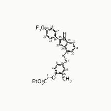 CCOC(=O)COc1ccc(SCc2cccc3[nH]c(-c4ccc(C(F)(F)F)cc4)cc23)cc1C